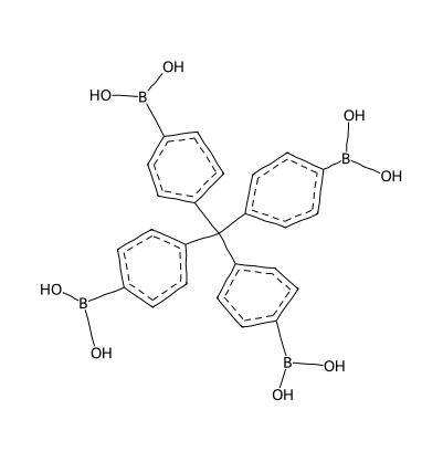 OB(O)c1ccc(C(c2ccc(B(O)O)cc2)(c2ccc(B(O)O)cc2)c2ccc(B(O)O)cc2)cc1